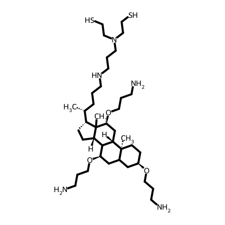 C[C@H](CCCNCCCN(CCS)CCS)[C@H]1CC[C@H]2C3[C@H](OCCCN)CC4C[C@H](OCCCN)CC[C@]4(C)[C@H]3C[C@H](OCCCN)C12C